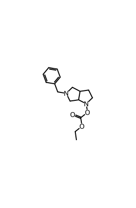 CCOC(=O)ON1CCC2CN(Cc3ccccc3)CC21